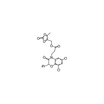 Cc1oc(=O)oc1COC(=O)CCN1C(=O)C(C(C)C)Oc2c(Cl)cc(Cl)cc21